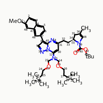 COc1ccc2ccc(-c3cnn4c(N(COCC[Si](C)(C)C)COCC[Si](C)(C)C)cc(CC[C@H]5CC(C)=CN5C(=O)OC(C)(C)C)nc34)cc2c1